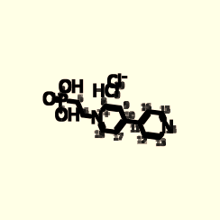 Cl.O=P(O)(O)CC[n+]1ccc(-c2ccncc2)cc1.[Cl-]